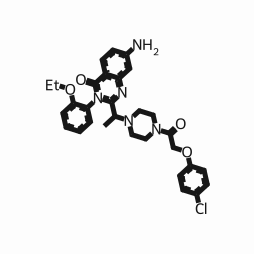 CCOc1ccccc1-n1c(C(C)N2CCN(C(=O)COc3ccc(Cl)cc3)CC2)nc2cc(N)ccc2c1=O